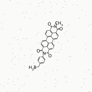 BCc1ccc(N2C(=O)c3ccc4c5ccc6c7c(ccc(c8ccc(c3c48)C2=O)c75)C(=O)N(C)C6=O)cc1